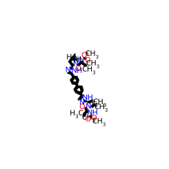 COC(=O)N[C@H](C(=O)N1C[Si](C)(C)C[C@H]1c1ncc(-c2ccc(-c3ccc(-c4cnc([C@@H]5C[C@H]6C[C@H]6N5C(=O)[C@@H](NC(=O)OC)C(C)C)[nH]4)cc3)cc2)[nH]1)C(C)C